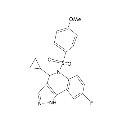 COc1ccc(S(=O)(=O)N2c3ccc(F)cc3-c3[nH]ncc3C2C2CC2)cc1